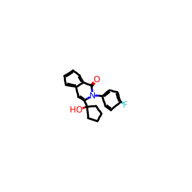 O=c1c2ccccc2cc(C2(O)CCCC2)n1-c1ccc(F)cc1